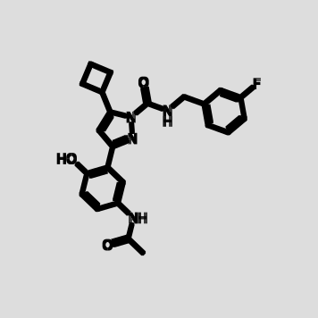 CC(=O)Nc1ccc(O)c(-c2cc(C3CCC3)n(C(=O)NCc3cccc(F)c3)n2)c1